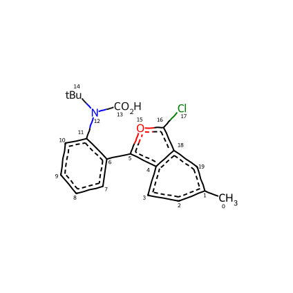 Cc1ccc2c(-c3ccccc3N(C(=O)O)C(C)(C)C)oc(Cl)c2c1